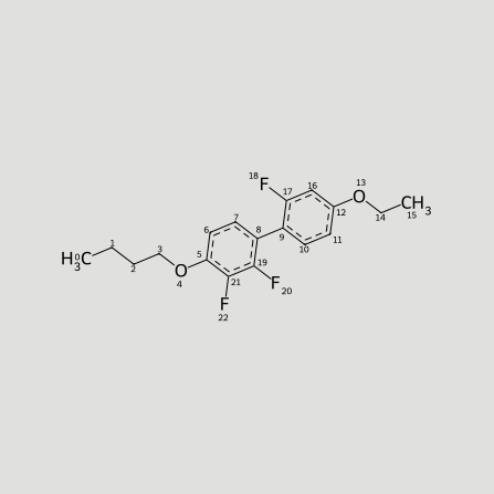 CCCCOc1ccc(-c2ccc(OCC)cc2F)c(F)c1F